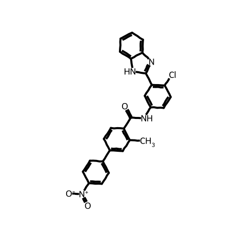 Cc1cc(-c2ccc([N+](=O)[O-])cc2)ccc1C(=O)Nc1ccc(Cl)c(-c2nc3ccccc3[nH]2)c1